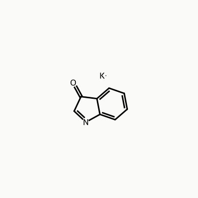 O=C1C=Nc2ccccc21.[K]